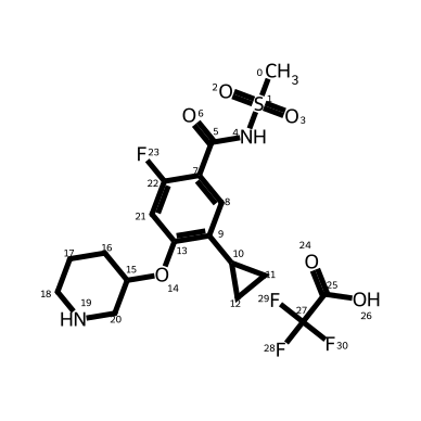 CS(=O)(=O)NC(=O)c1cc(C2CC2)c(OC2CCCNC2)cc1F.O=C(O)C(F)(F)F